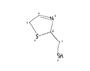 SCC1N=CCS1